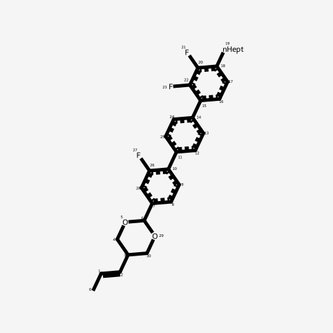 C/C=C/C1COC(c2ccc(-c3ccc(-c4ccc(CCCCCCC)c(F)c4F)cc3)c(F)c2)OC1